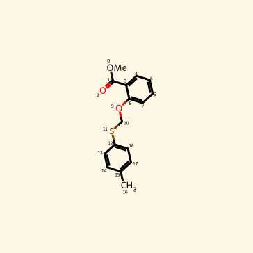 COC(=O)c1ccccc1OCSc1ccc(C)cc1